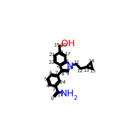 C=C(N)c1cccc(-c2cn(CCC3CC3)c3cc(CO)ccc23)c1